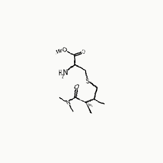 COC(=O)C(N)CSCC(C)[C@@H](C)C(=O)N(C)C